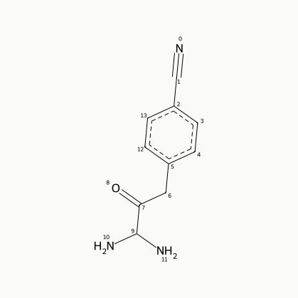 N#Cc1ccc(CC(=O)C(N)N)cc1